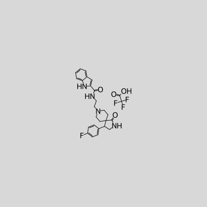 O=C(NCCN1CCC2(CC1)C(=O)NCC2c1ccc(F)cc1)c1cc2ccccc2[nH]1.O=C(O)C(F)(F)F